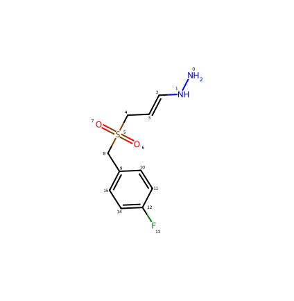 NNC=CCS(=O)(=O)Cc1ccc(F)cc1